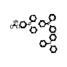 O=[C](Cl)[Rh].c1ccc(P(c2ccccc2)c2ccccc2)cc1.c1ccc(P(c2ccccc2)c2ccccc2)cc1.c1ccc(P(c2ccccc2)c2ccccc2)cc1